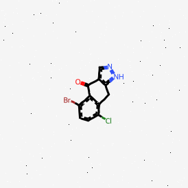 O=C1c2cn[nH]c2Cc2c(Cl)ccc(Br)c21